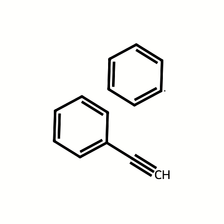 C#Cc1ccccc1.[c]1ccccc1